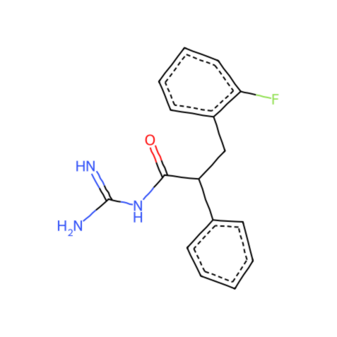 N=C(N)NC(=O)C(Cc1ccccc1F)c1ccccc1